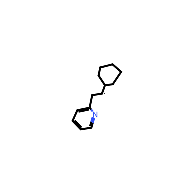 [CH](Cc1ccccn1)C1CCCCC1